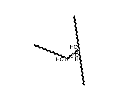 CC/C=C/CCCCCCCCCCCC(O)CN(CCSSCCN(C)C[C@H](O)CCCCCCCCCCCCCCC)CC(O)CCCCCCCCCCCCCCC